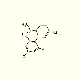 CC1=CC(c2c(O)cc(O)cc2I)C(C(C)C)CC1